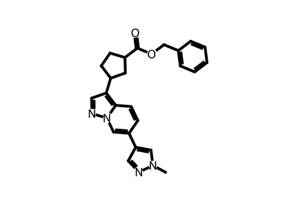 Cn1cc(-c2ccc3c(C4CCC(C(=O)OCc5ccccc5)C4)cnn3c2)cn1